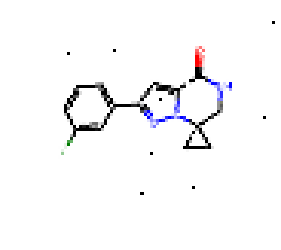 O=C1NCC2(CC2)n2nc(-c3cccc(F)c3)cc21